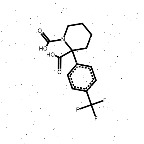 O=C(O)N1CCCCC1(C(=O)O)c1ccc(C(F)(F)F)cc1